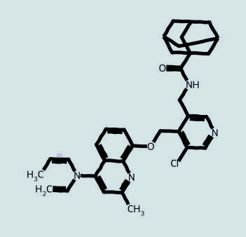 C=CN(/C=C\C)c1cc(C)nc2c(OCc3c(Cl)cncc3CNC(=O)C34CC5CC(CC(C5)C3)C4)cccc12